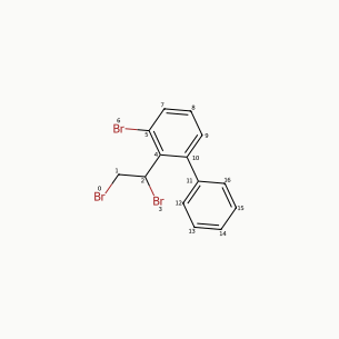 BrCC(Br)c1c(Br)cccc1-c1ccccc1